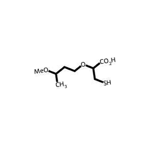 COC(C)CCOC(CS)C(=O)O